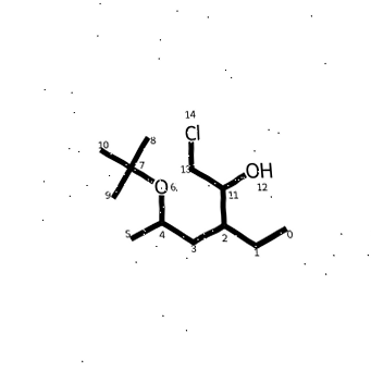 CCC(CC(C)OC(C)(C)C)C(O)CCl